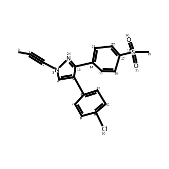 CC#Cn1cc(-c2ccc(Cl)cc2)c(-c2ccc(S(C)(=O)=O)cc2)n1